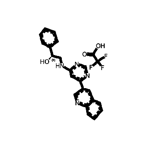 O=C(O)C(F)(F)F.O[C@@H](CNc1cc(-c2cnc3ccccc3c2)ncn1)c1ccccc1